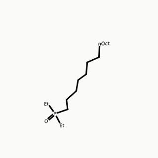 CCCCCCCCCCCCCCCP(=O)(CC)CC